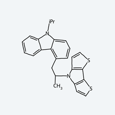 CC(C)n1c2ccccc2c2c(CC(C)n3c4ccsc4c4sccc43)cccc21